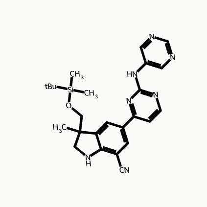 CC1(CO[Si](C)(C)C(C)(C)C)CNc2c(C#N)cc(-c3ccnc(Nc4cncnc4)n3)cc21